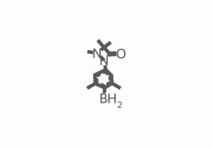 Bc1c(C)cc(N2C(=O)C(C)(C)N2C)cc1C